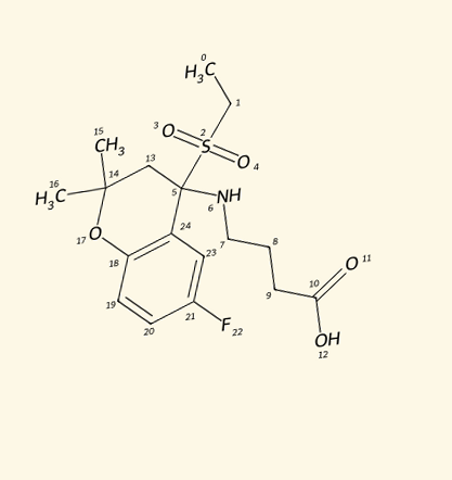 CCS(=O)(=O)C1(NCCCC(=O)O)CC(C)(C)Oc2ccc(F)cc21